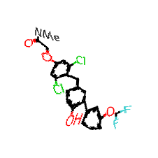 CNC(=O)COc1cc(Cl)c(Cc2ccc(O)c(-c3cccc(OC(F)F)c3)c2)c(Cl)c1